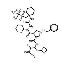 CC(C)(C)S(=O)(=O)CC1(NC(=O)N[C@H](C(=O)N2C[C@H](OCc3ccccc3)C[C@H]2C(=O)NC(CC2CCC2)C(=O)C(N)=O)C2CCCCC2)CCCCC1